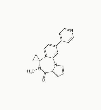 CN1C(=O)c2cccn2-c2cc(-c3ccncc3)ccc2C12CC2